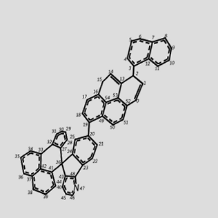 C1=CC(c2cccc3ccccc23)C2=CCc3ccc(-c4ccc5c(c4)C4(c6ccccc6-c6cccc7cccc4c67)c4cccnc4-5)c4ccc1c2c34